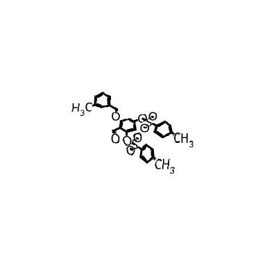 Cc1ccc(S(=O)(=O)Oc2cc(OCc3cccc(C)c3)c(C=O)c(OS(=O)(=O)c3ccc(C)cc3)c2)cc1